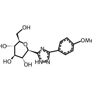 COc1ccc(-c2n[nH]c([C@@H]3O[C@H](CO)[C@@H](O)[C@H](O)[C@H]3O)n2)cc1